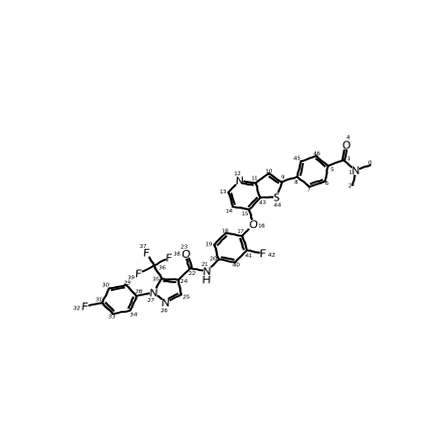 CN(C)C(=O)c1ccc(-c2cc3nccc(Oc4ccc(NC(=O)c5cnn(-c6ccc(F)cc6)c5C(F)(F)F)cc4F)c3s2)cc1